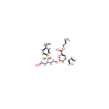 C=CCOC(=O)C1=C[C@H](c2ccsc2)C[C@H](OCCN(CCO)S(=O)(=O)c2ccc(OC)cc2)O1